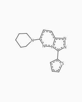 c1csc(-c2nnc3ccc(N4CCCCC4)nn23)c1